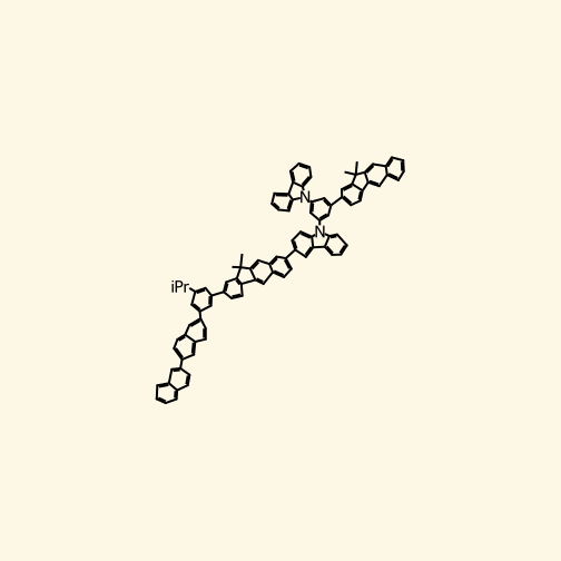 CC(C)c1cc(-c2ccc3c(c2)C(C)(C)c2cc4cc(-c5ccc6c(c5)c5ccccc5n6-c5cc(-c6ccc7c(c6)C(C)(C)c6cc8ccccc8cc6-7)cc(-n6c7ccccc7c7ccccc76)c5)ccc4cc2-3)cc(-c2ccc3cc(-c4ccc5ccccc5c4)ccc3c2)c1